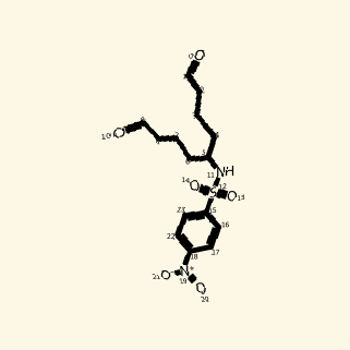 O=CCCCC(CCCC=O)NS(=O)(=O)c1ccc([N+](=O)[O-])cc1